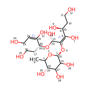 CC1O[C@@H](O/C(=C(\O)[C@@H](O)CCO)[C@@H](O)O[C@H](CCO)/C(O)=C\CO)C(O)C(O)[C@@H]1O